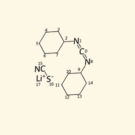 C(=NC1CCCCC1)=NC1CCCCC1.N#C[S-].[Li+]